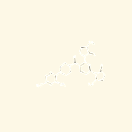 Cc1cnc(N2CCN(C(=O)c3ccc(N4C(=O)CCC4C)cc3N3CCN(C)C3=O)CC2)c(C)c1